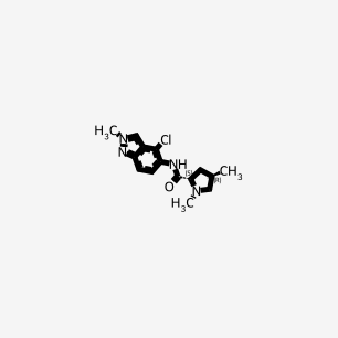 C[C@@H]1C[C@@H](C(=O)Nc2ccc3nn(C)cc3c2Cl)N(C)C1